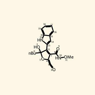 CCCCC1(O)OC(=C=O)C(C(=O)NOC)=C1c1cc2ccccc2[nH]1